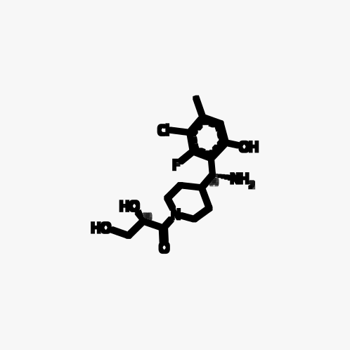 Cc1cc(O)c([C@H](N)C2CCN(C(=O)[C@H](O)CO)CC2)c(F)c1Cl